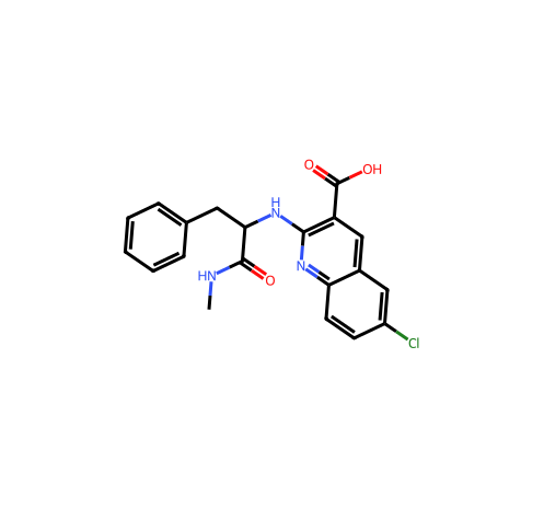 CNC(=O)C(Cc1ccccc1)Nc1nc2ccc(Cl)cc2cc1C(=O)O